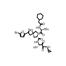 CCC[C@H](NC(=O)[C@@H]1C[C@]2(CC(c3ccc(Br)o3)=NO2)CN1C(=O)[C@@H](NC(=O)CC1CCCCC1)C(C)(C)C)C(=O)C(=O)NC1CC1